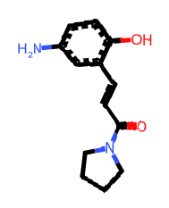 Nc1ccc(O)c(C=CC(=O)N2CCCC2)c1